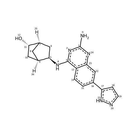 Nc1nc(N[C@@H]2C[C@H]3C[C@@H]2C[C@@H]3O)c2ccc(-c3ccn[nH]3)cc2n1